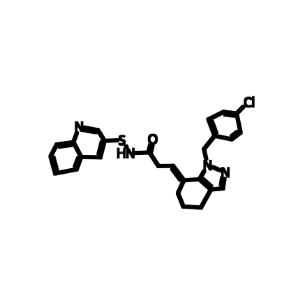 O=C(C/C=C1\CCCc2cnn(Cc3ccc(Cl)cc3)c21)NSc1cnc2ccccc2c1